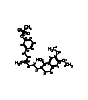 COc1cc2c(cc1OC)C(O)C(CCCN(C)CCc1cccc(OS(C)(=O)=O)c1)CC2